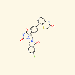 O=C1CSc2c(cccc2-c2ccc([C@@]3(CN4Cc5ccc(F)cc5C4=O)NC(=O)NC3=O)cc2)N1